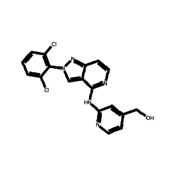 OCc1ccnc(Nc2nccc3nn(-c4c(Cl)cccc4Cl)cc23)c1